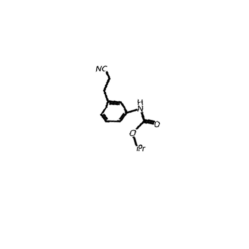 CC(C)OC(=O)Nc1cccc(CCC#N)c1